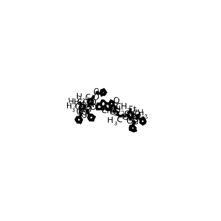 CCC1O[C@@H](OC[C@@H](C)CCC(=O)[C@@H](C)C2C(=O)CC3C4CCC5CC(O[C@@H]6OC(COC(=O)c7ccccc7)[C@@H](C)[C@H](C)C6O[C@@H]6OC(C)[C@H](C)C(OC(=O)c7ccccc7)[C@@H]6OC(=O)c6ccccc6)CCC5(C)C4CCC32C)C(OC(=O)c2ccccc2)[C@@H](OC(=O)c2ccccc2)[C@H]1C